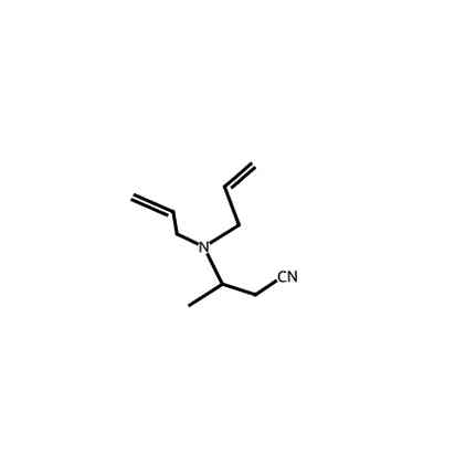 C=CCN(CC=C)C(C)CC#N